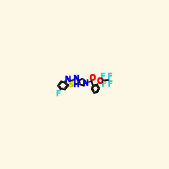 O=C(c1ccccc1OC(F)(F)C(F)F)N1CC[C@@H](Nc2nc3ccc(F)cc3s2)C1